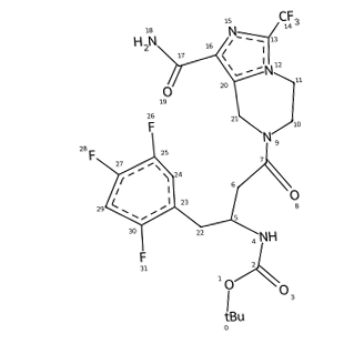 CC(C)(C)OC(=O)NC(CC(=O)N1CCn2c(C(F)(F)F)nc(C(N)=O)c2C1)Cc1cc(F)c(F)cc1F